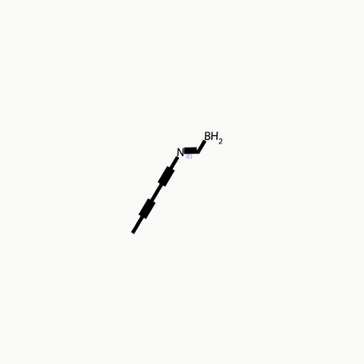 B/C=N/C#CC#CC